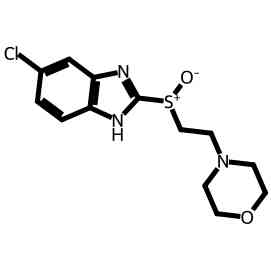 [O-][S+](CCN1CCOCC1)c1nc2cc(Cl)ccc2[nH]1